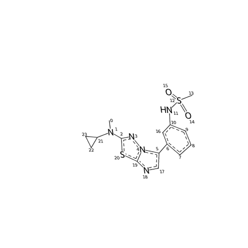 CN(c1nn2c(-c3cccc(NS(C)(=O)=O)c3)cnc2s1)C1CC1